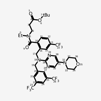 CCN(CCC(=O)OC(C)(C)C)C(=O)c1ccc(C(F)(F)F)cc1CN(Cc1cc(C(F)(F)F)cc(C(F)(F)F)c1)c1ncc(N2CCOCC2)cn1